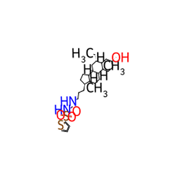 CC[C@H]1C[C@@H]2[C@H](CC[C@]3(C)[C@@H](CCCNC(=O)NS(=O)(=O)c4cccs4)CC[C@@H]23)[C@@]2(C)CC[C@@H](O)C[C@@H]12